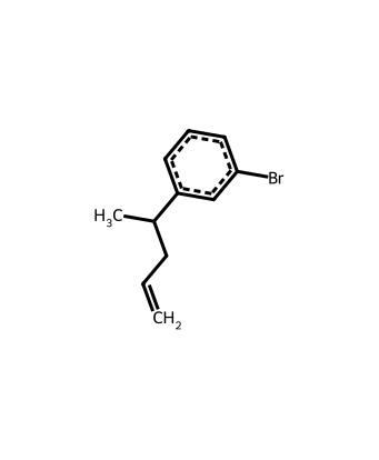 C=CCC(C)c1cccc(Br)c1